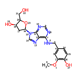 COc1cc(CNc2ncnc3c2ncn3[C@H]2C[C@@H](O)C(CO)O2)ccc1O